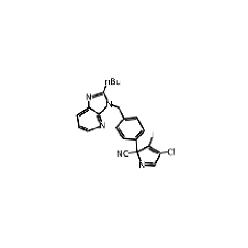 CCCCc1nc2cccnc2n1Cc1ccc(C2(C#N)N=CC(Cl)=C2I)cc1